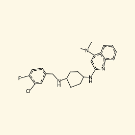 CN(C)c1cc(NC2CCC(NCc3ccc(F)c(Cl)c3)CC2)nc2ccccc12